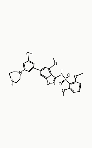 COc1cccc(OC)c1S(=O)(=O)Nc1noc2cc(-c3cc(O)cc(N4CCNCC4)c3)cc(OC)c12